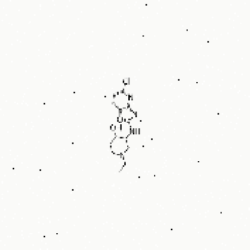 CCN1CCC(O)C(Nc2nc3nc(Cl)ccc3o2)C1